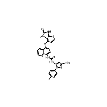 Cc1ccc(-n2nc(C(C)(C)C)cc2NC(=O)Nc2ccc(Oc3ccnc4[nH]c(=O)n(C)c34)c3cccnc23)cc1